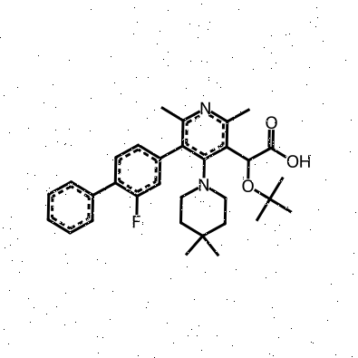 Cc1nc(C)c(C(OC(C)(C)C)C(=O)O)c(N2CCC(C)(C)CC2)c1-c1ccc(-c2ccccc2)c(F)c1